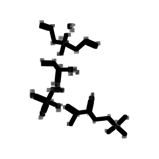 C=C(C)C(=O)CC[N+](C)(C)C.C=CC(N)=O.C=CC[N+](C)(C)CC=C.COS(=O)(=O)[O-].[Cl-]